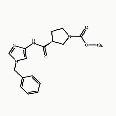 CC(C)(C)OC(=O)N1CC[C@H](C(=O)Nc2cn(Cc3ccccc3)cn2)C1